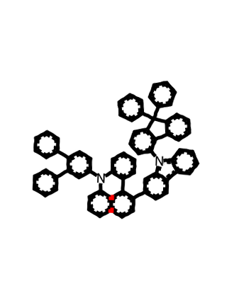 c1ccc(-c2ccc(N(c3ccccc3)c3ccccc3-c3ccccc3-c3ccc4c5ccccc5n(-c5cccc6c5-c5ccccc5C6(c5ccccc5)c5ccccc5)c4c3)cc2-c2ccccc2)cc1